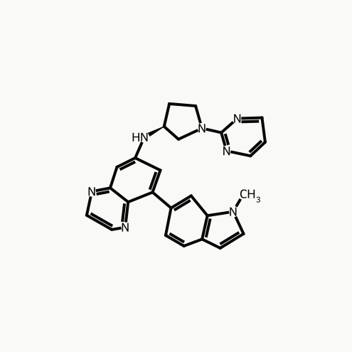 Cn1ccc2ccc(-c3cc(N[C@H]4CCN(c5ncccn5)C4)cc4nccnc34)cc21